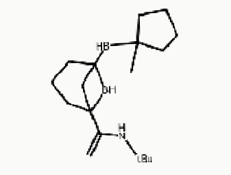 C=C(NC(C)(C)C)C12BC(BC3(C)CCCC3)(CCC1)C2